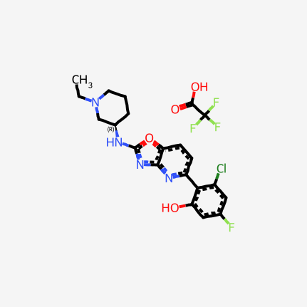 CCN1CCC[C@@H](Nc2nc3nc(-c4c(O)cc(F)cc4Cl)ccc3o2)C1.O=C(O)C(F)(F)F